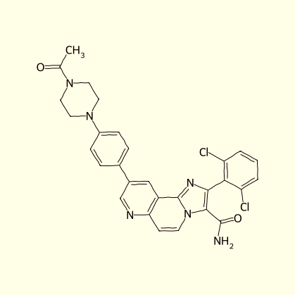 CC(=O)N1CCN(c2ccc(-c3cnc4ccn5c(C(N)=O)c(-c6c(Cl)cccc6Cl)nc5c4c3)cc2)CC1